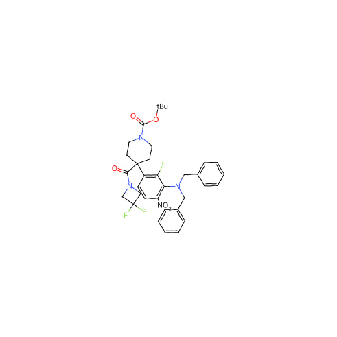 CC(C)(C)OC(=O)N1CCC(C(=O)N2CC(F)(F)C2)(c2ccc([N+](=O)[O-])c(N(Cc3ccccc3)Cc3ccccc3)c2F)CC1